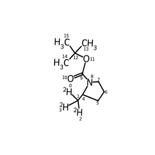 [2H]C([2H])([2H])C1CCCN1C(=O)OC(C)(C)C